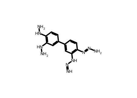 N=NNc1cc(-c2ccc(NN)c(NN)c2)ccc1N=NN